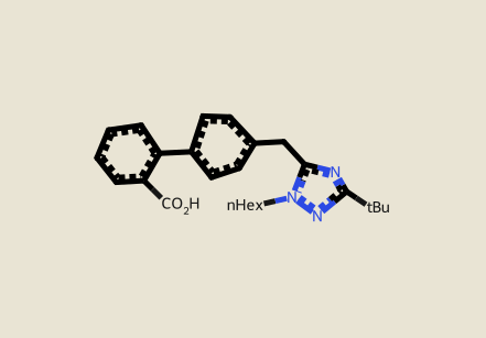 CCCCCCn1nc(C(C)(C)C)nc1Cc1ccc(-c2ccccc2C(=O)O)cc1